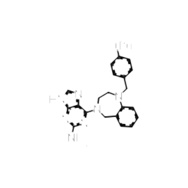 CC(C)(C)c1ccc(CN2CCN(c3nc(N)nc4[nH]cnc34)Cc3ccccc32)cc1